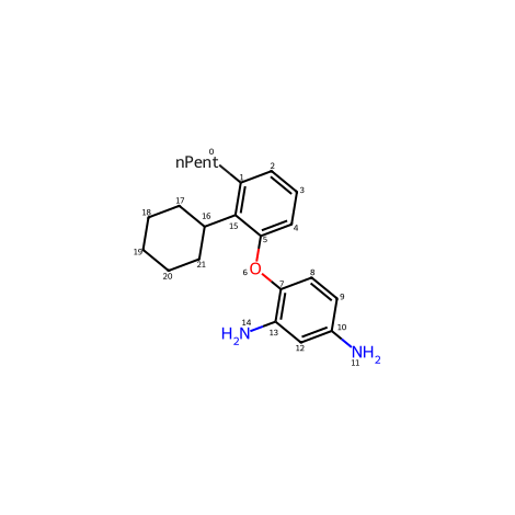 CCCCCc1cccc(Oc2ccc(N)cc2N)c1C1CCCCC1